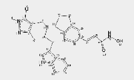 Cc1nn(C)c(Cl)c1CN(CCc1c[nH]c2ccccc12)C1CCc2cc(C=CC(=O)NO)ccc21